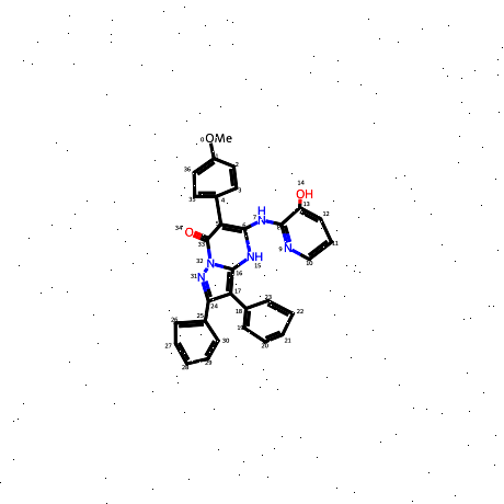 COc1ccc(-c2c(Nc3ncccc3O)[nH]c3c(-c4ccccc4)c(-c4ccccc4)nn3c2=O)cc1